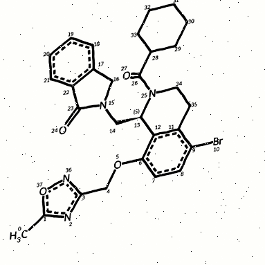 Cc1nc(COc2ccc(Br)c3c2[C@@H](CN2Cc4ccccc4C2=O)N(C(=O)C2CCCCC2)CC3)no1